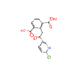 O=C(Cc1c(C(=O)O)cccc1C(=O)O)c1ccc(Cl)nc1